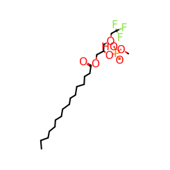 CCCCCCCCCCCCCCCC(=O)OCC(COCC(F)(F)F)OP(=O)(O)OC